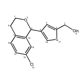 OCc1cc(C2OCCc3ccc(Cl)cc32)cs1